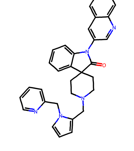 O=C1N(c2cnc3ccccc3c2)c2ccccc2C12CCN(Cc1cccn1Cc1ccccn1)CC2